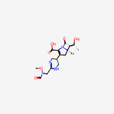 CON(C=O)CC1=NCC(C2=C(C(=O)O)N3C(=O)[C@H]([C@@H](C)O)[C@H]3C2)CN1